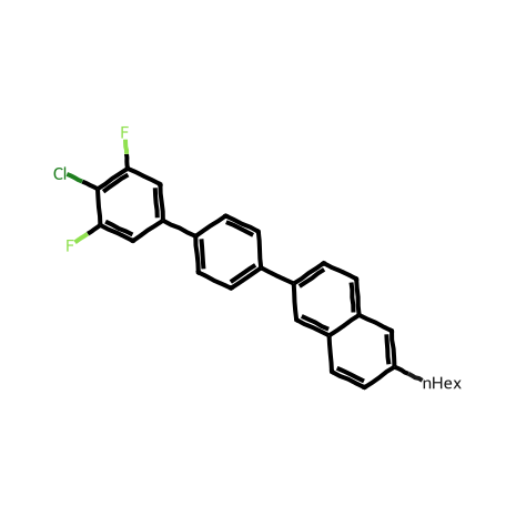 CCCCCCc1ccc2cc(-c3ccc(-c4cc(F)c(Cl)c(F)c4)cc3)ccc2c1